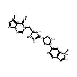 Cc1cnn2ncn(Cc3nc([C@@H]4CO[C@@H](c5ccc6cnn(C)c6c5)C4)no3)c(=O)c12